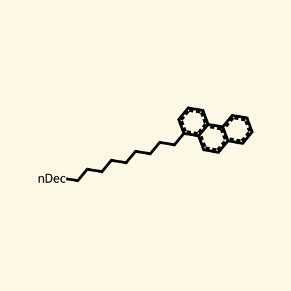 [CH2]CCCCCCCCCCCCCCCCCCc1cccc2c1ccc1ccccc12